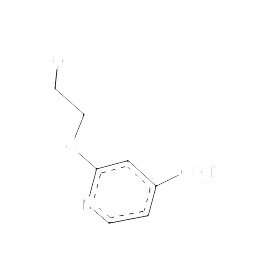 CCOC(=O)c1ccnc(OCCO)c1